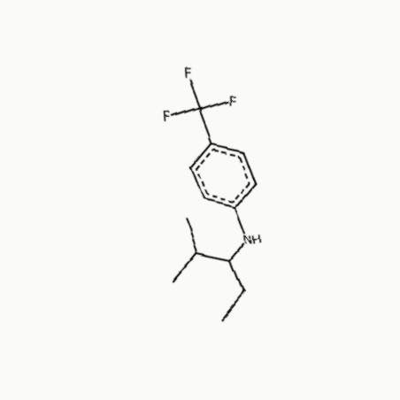 CCC(Nc1ccc(C(F)(F)F)cc1)C(C)C